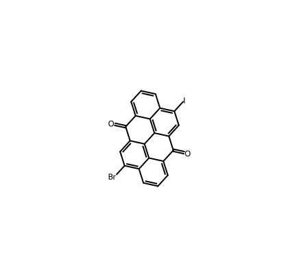 O=c1c2cc(I)c3cccc4c(=O)c5cc(Br)c6cccc1c6c5-c2c34